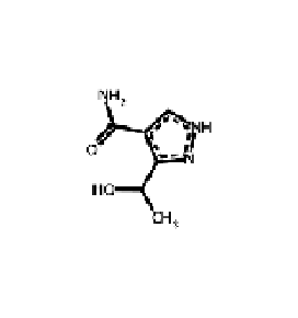 CC(O)c1n[nH]cc1C(N)=O